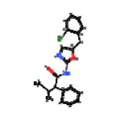 CC(C)C(C(=O)Nc1ncc(Cc2ccccc2Cl)o1)c1ccccc1